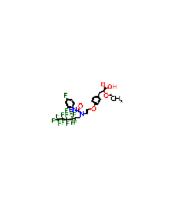 CCOC(Cc1ccc(OCCN(CC(F)(F)C(F)(F)C(F)(F)C(F)(F)C(F)(F)F)C(=O)Nc2ccc(F)cc2F)cc1)C(=O)O